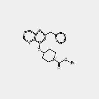 CC(C)(C)OC(=O)N1CCC(Oc2cc(Cc3ccccc3)cc3cccnc23)CC1